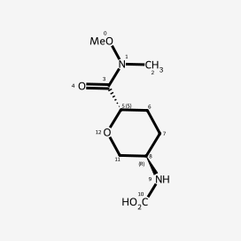 CON(C)C(=O)[C@@H]1CC[C@@H](NC(=O)O)CO1